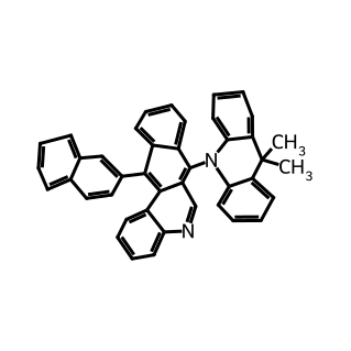 CC1(C)c2ccccc2N(c2c3ccccc3c(-c3ccc4ccccc4c3)c3c2cnc2ccccc23)c2ccccc21